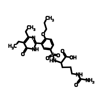 CCCOc1ccc(S(=O)(=O)NC(CCCNC(N)=O)C(=O)O)cc1-c1nc(CC)c(CC)c(=O)[nH]1